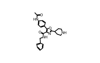 CC(=O)Nc1ccc(-c2oc(C3CCNCC3)nc2C(=O)NCc2ccccc2)cc1